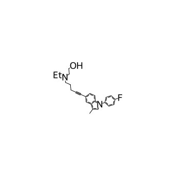 CCN(CCO)CCCC#Cc1ccc2c(c1)c(C)cn2-c1ccc(F)cc1